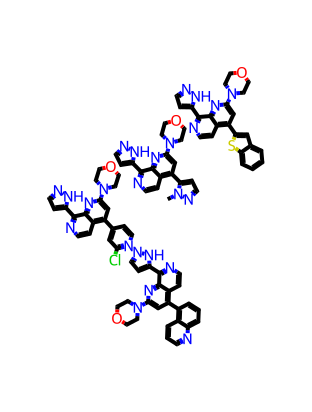 Clc1cc(-c2cc(N3CCOCC3)nc3c(-c4ccn[nH]4)nccc23)ccn1.Cn1nccc1-c1cc(N2CCOCC2)nc2c(-c3ccn[nH]3)nccc12.c1cc(-c2cc(N3CCOCC3)nc3c(-c4ccn[nH]4)nccc23)c2cccnc2c1.c1ccc2sc(-c3cc(N4CCOCC4)nc4c(-c5ccn[nH]5)nccc34)cc2c1